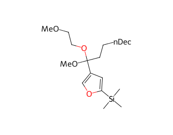 CCCCCCCCCCCCC(OC)(OCCOC)c1coc([Si](C)(C)C)c1